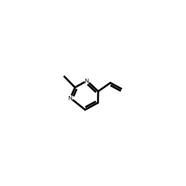 C=Cc1ccnc(C)n1